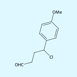 COc1ccc(C(Cl)CCC=O)cc1